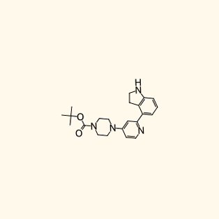 CC(C)(C)OC(=O)N1CCN(c2ccnc(-c3cccc4c3CCN4)c2)CC1